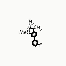 C=C(C(N)=O)c1ccc(-c2cccc(F)c2)cc1OC